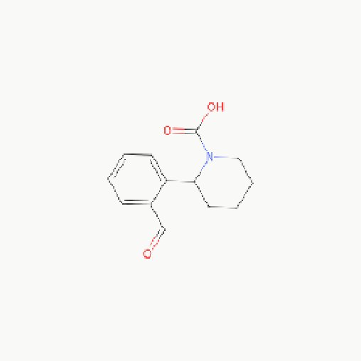 O=Cc1ccccc1C1CCCCN1C(=O)O